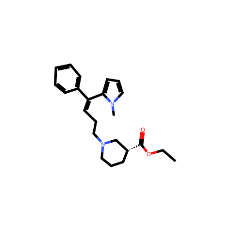 CCOC(=O)[C@@H]1CCCN(CCC=C(c2ccccc2)c2cccn2C)C1